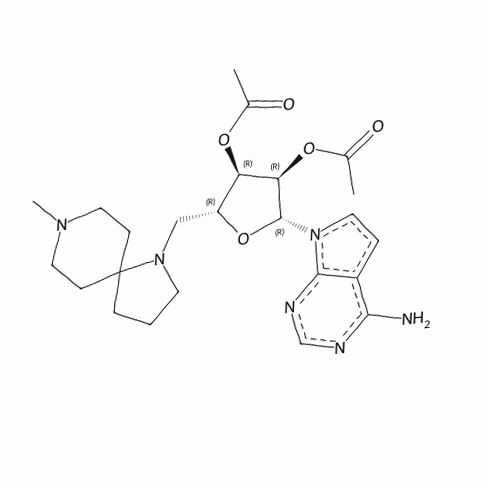 CC(=O)O[C@@H]1[C@H](OC(C)=O)[C@@H](CN2CCCC23CCN(C)CC3)O[C@H]1n1ccc2c(N)ncnc21